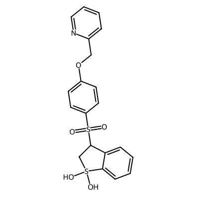 O=S(=O)(c1ccc(OCc2ccccn2)cc1)C1CS(O)(O)c2ccccc21